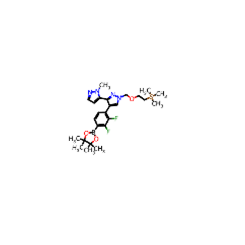 Cn1nccc1-c1nn(COCCS(C)(C)C)cc1-c1ccc(B2OC(C)(C)C(C)(C)O2)c(F)c1F